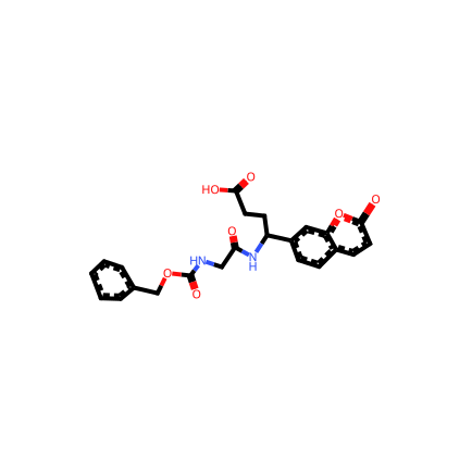 O=C(O)CCC(NC(=O)CNC(=O)OCc1ccccc1)c1ccc2ccc(=O)oc2c1